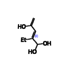 C=C(O)/C=C(\CC)C(O)O